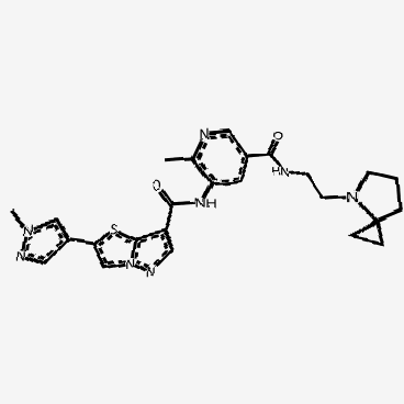 Cc1ncc(C(=O)NCCN2CCCC23CC3)cc1NC(=O)c1cnn2cc(-c3cnn(C)c3)sc12